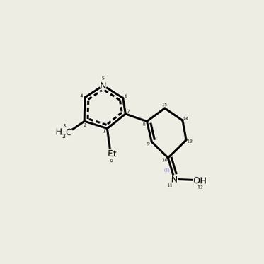 CCc1c(C)cncc1C1=C/C(=N/O)CCC1